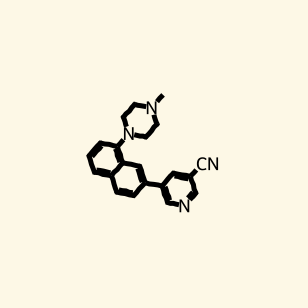 CN1CCN(c2cccc3ccc(-c4cncc(C#N)c4)cc23)CC1